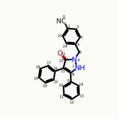 N#Cc1ccc(Cn2[nH]c(-c3ccccc3)c(-c3ccccc3)c2=O)cc1